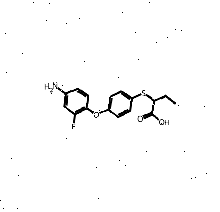 CCC(Sc1ccc(Oc2ccc(N)cc2F)cc1)C(=O)O